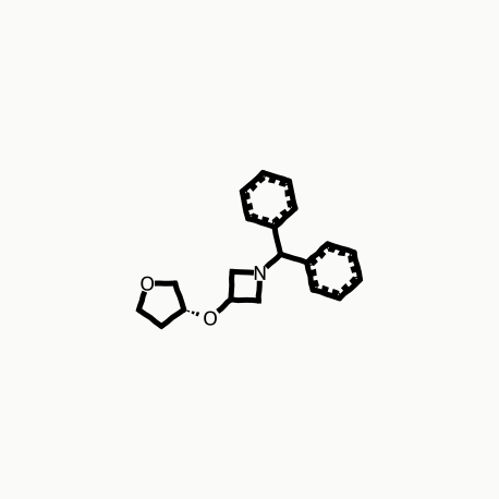 c1ccc(C(c2ccccc2)N2CC(O[C@@H]3CCOC3)C2)cc1